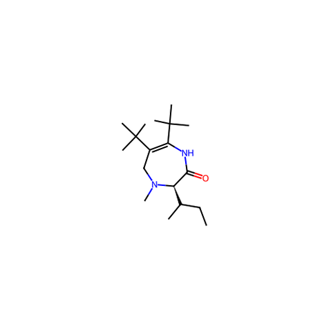 CCC(C)[C@@H]1C(=O)NC(C(C)(C)C)=C(C(C)(C)C)CN1C